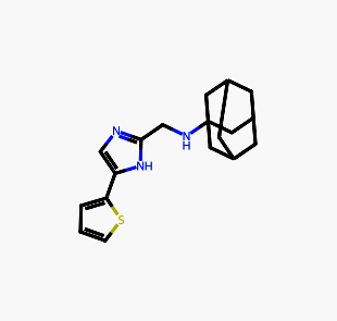 c1csc(-c2cnc(CNC34CC5CC(CC(C5)C3)C4)[nH]2)c1